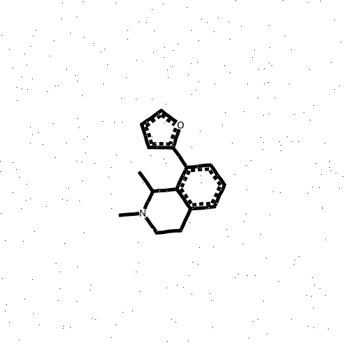 CC1c2c(cccc2-c2ccco2)CCN1C